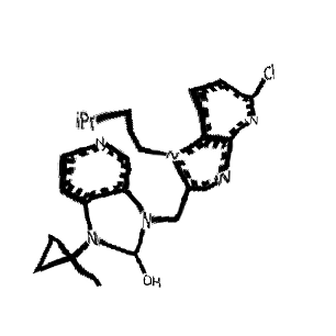 CC(C)CCn1c(CN2c3cnccc3N(C3(C)CC3)C2O)nc2nc(Cl)ccc21